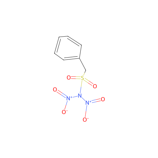 O=[N+]([O-])N([N+](=O)[O-])S(=O)(=O)Cc1ccccc1